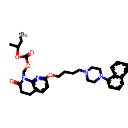 CC(CC(C)(C)C)OC(=O)OCN1C(=O)CCc2ccc(OCCCCN3CCN(c4cccc5ccccc45)CC3)nc21